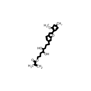 C=C(C)C(=O)OCCCC(O)C(O)CCCc1ccc2cc(-c3ccc(C)cc3OC)oc2c1